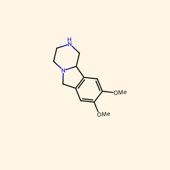 COc1cc2c(cc1OC)C1CNCCN1C2